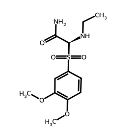 CCN[C@H](C(N)=O)S(=O)(=O)c1ccc(OC)c(OC)c1